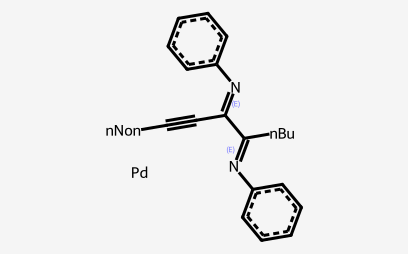 CCCCCCCCCC#CC(=N\c1ccccc1)/C(CCCC)=N/c1ccccc1.[Pd]